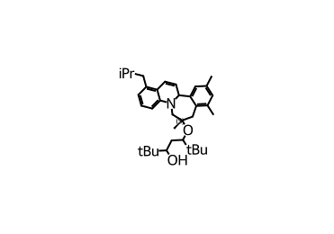 Cc1cc(C)c2c(c1)C1C=Cc3c(CC(C)C)cccc3N1C[C@@](C)(OC(CC(O)C(C)(C)C)C(C)(C)C)C2